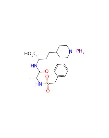 C[C@@H](NS(=O)(=O)Cc1ccccc1)C(=O)N[C@@H](CCC1CCN(P)CC1)C(=O)O